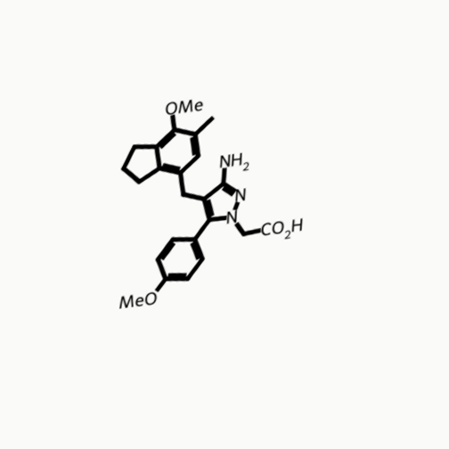 COc1ccc(-c2c(Cc3cc(C)c(OC)c4c3CCC4)c(N)nn2CC(=O)O)cc1